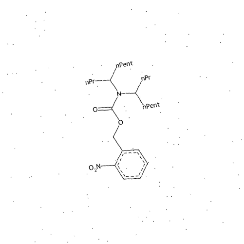 CCCCCC(CCC)N(C(=O)OCc1ccccc1[N+](=O)[O-])C(CCC)CCCCC